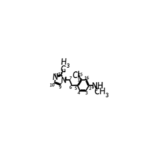 CNc1ccc(CCn2ccnc2C)c(Cl)c1